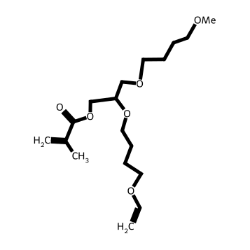 C=COCCCCOC(COCCCCOC)COC(=O)C(=C)C